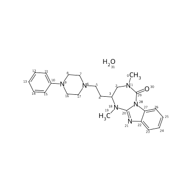 CN1CC(CCN2CCN(c3ccccc3)CC2)N(C)c2nc3ccccc3n2C1=O.O